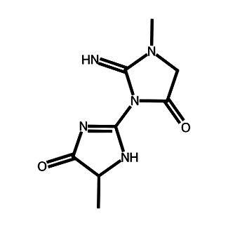 CC1NC(N2C(=N)N(C)CC2=O)=NC1=O